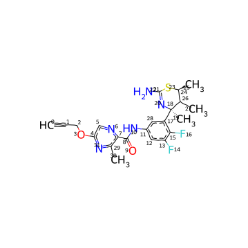 C#CCOc1cnc(C(=O)Nc2cc(F)c(F)c([C@@]3(C)N=C(N)S[C@@H](C)C3C)c2)c(C)n1